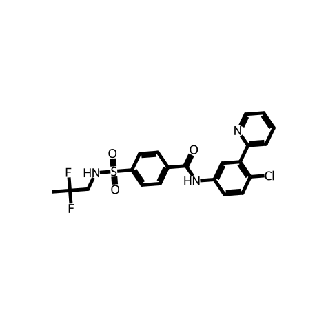 CC(F)(F)CNS(=O)(=O)c1ccc(C(=O)Nc2ccc(Cl)c(-c3ccccn3)c2)cc1